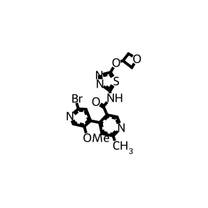 COc1cnc(Br)cc1-c1cc(C)ncc1C(=O)Nc1nnc(OC2COC2)s1